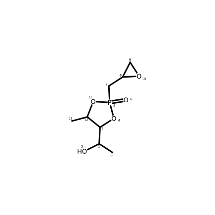 CC(O)C1OP(=O)(CC2CO2)OC1C